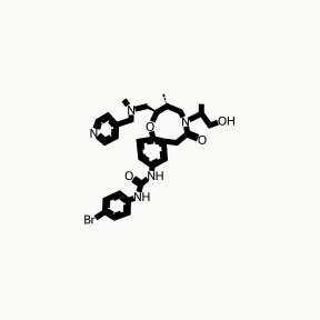 CC(CO)N1C[C@@H](C)[C@H](CN(C)Cc2ccncc2)Oc2ccc(NC(=O)Nc3ccc(Br)cc3)cc2CC1=O